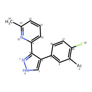 CC(=O)c1cc(-c2c[nH]nc2-c2cccc(C)n2)ccc1F